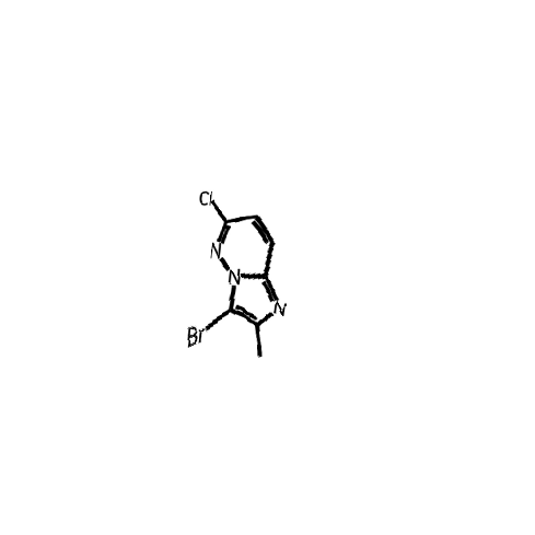 Cc1nc2ccc(Cl)nn2c1Br